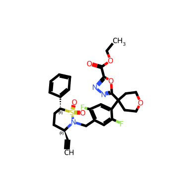 C#C[C@H]1CC[C@H](c2ccccc2)S(=O)(=O)N1Cc1cc(F)c(C2(c3nnc(C(=O)OCC)o3)CCOCC2)cc1F